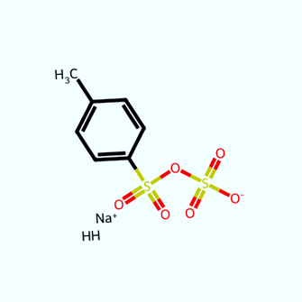 Cc1ccc(S(=O)(=O)OS(=O)(=O)[O-])cc1.[HH].[Na+]